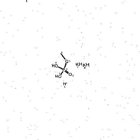 COP(=O)(O)O.[H+].[KH].[KH]